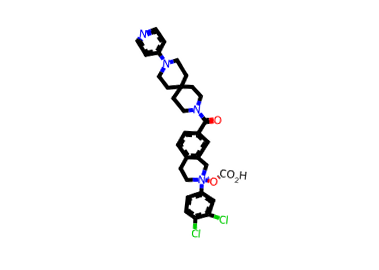 O=C(O)O[N+]1(c2ccc(Cl)c(Cl)c2)CCc2ccc(C(=O)N3CCC4(CC3)CCN(c3ccncc3)CC4)cc2C1